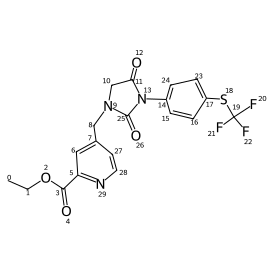 CCOC(=O)c1cc(CN2CC(=O)N(c3ccc(SC(F)(F)F)cc3)C2=O)ccn1